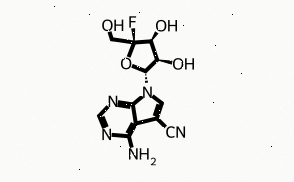 N#Cc1cn([C@@H]2O[C@](F)(CO)[C@@H](O)[C@H]2O)c2ncnc(N)c12